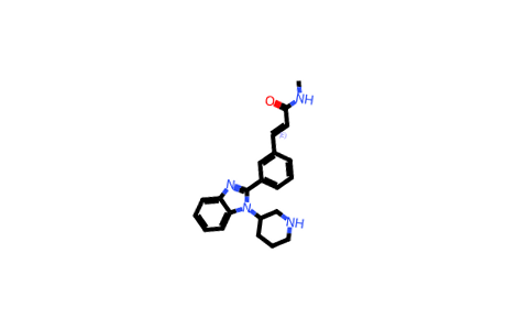 CNC(=O)/C=C/c1cccc(-c2nc3ccccc3n2C2CCCNC2)c1